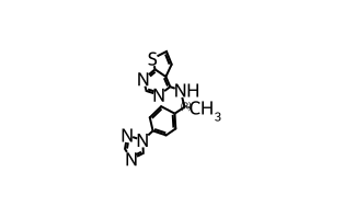 C[C@@H](Nc1ncnc2sccc12)c1ccc(-n2cncn2)cc1